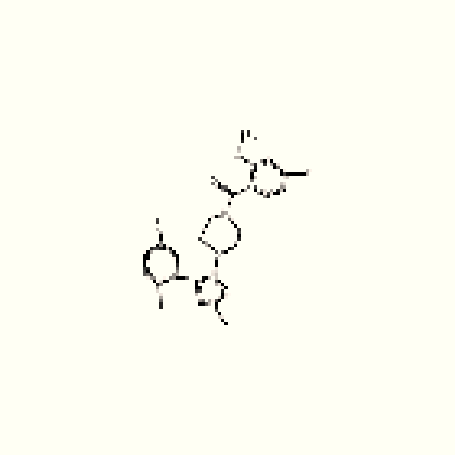 Cc1cc(-c2cc(F)ccc2C)n(C2CCN(C(=O)c3ccc(F)cc3OC(F)(F)F)CC2)n1